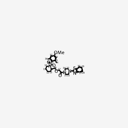 COc1cc(C)c(S(=O)(=O)N2CCCCC2COCC(=O)N2CCN(c3nc4ccccc4s3)CC2)c(C)c1